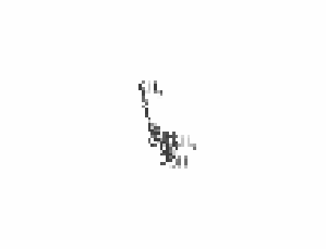 CCCCCCCCCCc1ccc(NC(=O)c2cnc(OC(=O)O)c(OC)c2)cc1